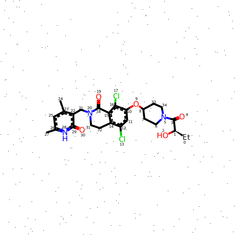 CC[C@@H](O)C(=O)N1CCC(Oc2cc(Cl)c3c(c2Cl)C(=O)N(Cc2c(C)cc(C)[nH]c2=O)CC3)CC1